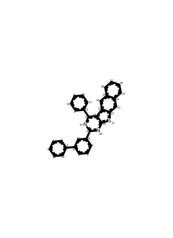 c1ccc(-c2cccc(-c3nc(-c4ccccc4)c4c(n3)sc3cc5ccccc5cc34)c2)cc1